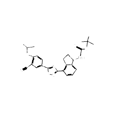 CC(C)Oc1ccc(-c2nc(-c3cccc4c3CC[C@H]4NC(=O)OC(C)(C)C)ns2)cc1C#N